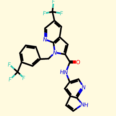 O=C(Nc1cnc2[nH]ccc2c1)c1cc2cc(C(F)(F)F)cnc2n1Cc1cccc(C(F)(F)F)c1